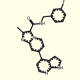 Cc1nc2cc(-c3ccnc4[nH]ccc34)ccn2c1C(=O)NCc1cccc(F)c1